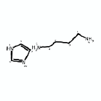 NCCCCN.c1c[nH]cn1